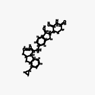 COCC1Cc2c(C3CC3)cccc2N1C(=O)Nc1ccc2c(c1)CN(C1CCC(=O)NC1=O)C2=O